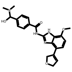 COc1ccc(C2=CCOC2)c2nc(NC(=O)c3ccc(C(O)N(C)C)cc3)[nH]c12